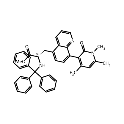 COC(=O)[C@H](Cc1ccc(-c2c(C(F)(F)F)cc(C)n(C)c2=O)c2ncccc12)NC(c1ccccc1)(c1ccccc1)c1ccccc1